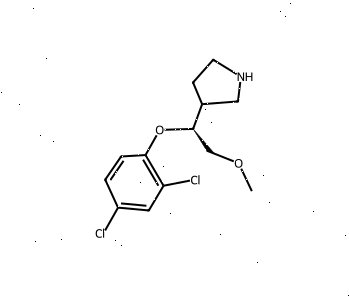 COC[C@@H](Oc1ccc(Cl)cc1Cl)C1CCNC1